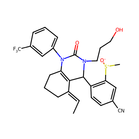 CC=C1CCCC2=C1C(c1ccc(C#N)cc1[S+](C)[O-])N(CCCO)C(=O)N2c1cccc(C(F)(F)F)c1